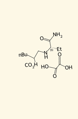 CCCCC(CN[C@@H](CC)C(N)=O)C(=O)O.O=C(O)C(=O)O